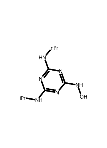 CCCNc1nc(NO)nc(NC(C)C)n1